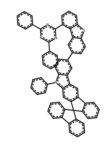 c1ccc(-c2nc(-c3ccccc3)nc(-c3cccc4sc5ccc(-c6ccc7c(c6)c6cc8c(cc6n7-c6ccccc6)C6(c7ccccc7-c7ccccc76)c6ccccc6-8)cc5c34)n2)cc1